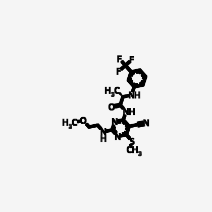 COCCNc1nc(NC(=O)[C@H](C)Nc2cccc(C(F)(F)F)c2)c(C#N)c(SC)n1